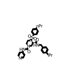 CCCc1ccc(S(=O)(=O)N2CCN(C(=O)Nc3ccncc3)C[C@@H]2C(=O)NCc2ccc(C(C)C)cc2)cc1